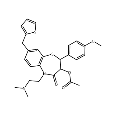 COc1ccc(C2Sc3cc(Cc4cccs4)ccc3N(CCN(C)C)C(=O)C2OC(C)=O)cc1